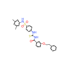 Cc1cc(C)cc(NS(=O)(=O)c2ccc(NC(=S)NC(=O)c3cccc(OCCc4ccccc4)c3)cc2)c1